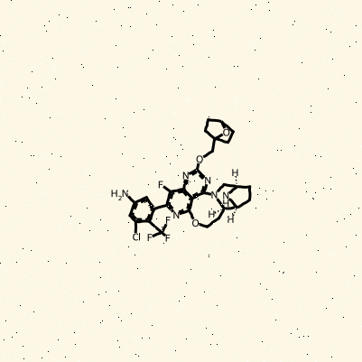 Nc1cc(Cl)c(C(F)(F)F)c(-c2nc3c4c(nc(OCC56CCC(CC5)O6)nc4c2F)N2C[C@H]4CC[C@H](N4)[C@H]2CCO3)c1